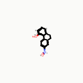 O=Nc1ccc2c(c1)CCc1cccc(O)c1-2